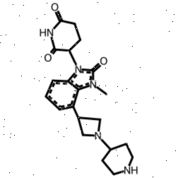 Cn1c(=O)n(C2CCC(=O)NC2=O)c2cccc(C3CN(C4CCNCC4)C3)c21